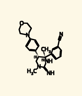 CN1C[C@H](c2ccc(N3CCOCC3)cc2)[C@@](C)(c2cccc(C#N)c2)NC1=N